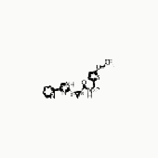 C[C@@H](NC(=O)[C@H]1C[C@@H]1c1nc(-c2ccccn2)c[nH]1)c1ccc(OCC(F)(F)F)s1